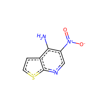 Nc1c([N+](=O)[O-])cnc2sccc12